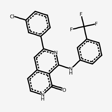 O=c1[nH]ccc2cc(-c3cccc(Cl)c3)nc(Nc3cccc(C(F)(F)F)c3)c12